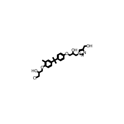 Cc1cc(C(C)(C)c2ccc(OCC(O)Cn3cc(CO)nn3)cc2)ccc1OCC(O)CCl